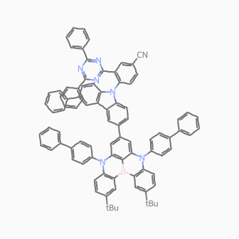 CC(C)(C)c1ccc2c(c1)B1c3cc(C(C)(C)C)ccc3N(c3ccc(-c4ccccc4)cc3)c3cc(-c4ccc5c(c4)c4cc(-c6ccccc6)ccc4n5-c4ccc(C#N)cc4-c4nc(-c5ccccc5)nc(-c5ccccc5)n4)cc(c31)N2c1ccc(-c2ccccc2)cc1